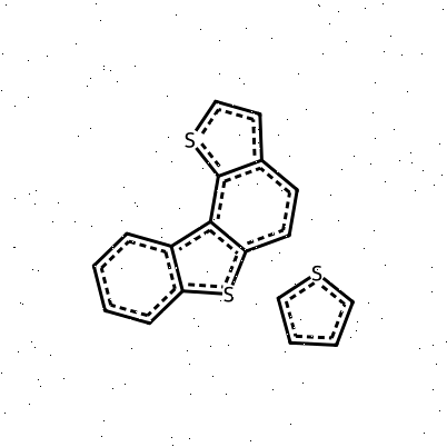 c1ccc2c(c1)sc1ccc3ccsc3c12.c1ccsc1